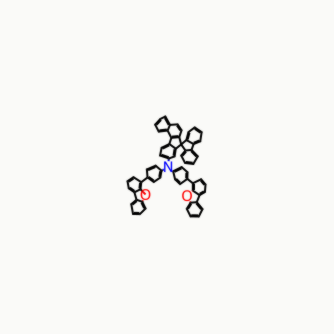 c1ccc2c(c1)-c1ccccc1C21c2cc(N(c3ccc(-c4cccc5c4oc4ccccc45)cc3)c3ccc(-c4cccc5c4oc4ccccc45)cc3)ccc2-c2c1ccc1ccccc21